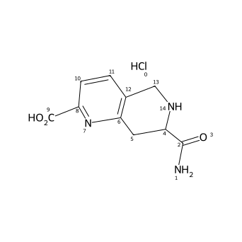 Cl.NC(=O)C1Cc2nc(C(=O)O)ccc2CN1